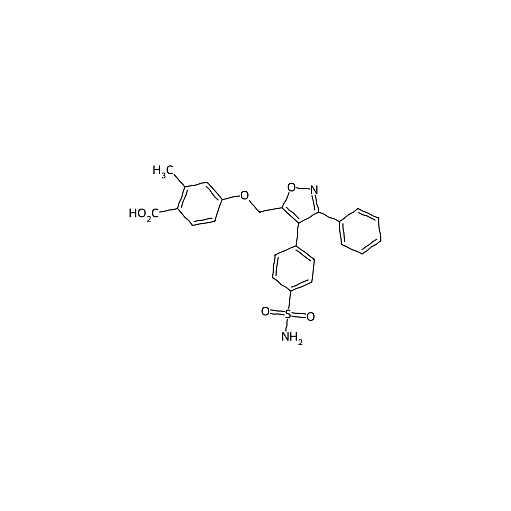 Cc1cc(OCc2onc(-c3ccccc3)c2-c2ccc(S(N)(=O)=O)cc2)ccc1C(=O)O